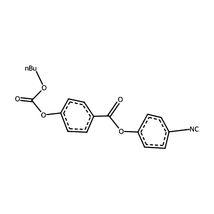 [C-]#[N+]c1ccc(OC(=O)c2ccc(OC(=O)OCCCC)cc2)cc1